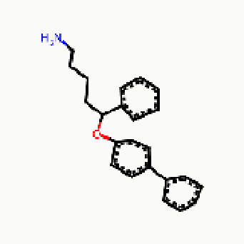 NCCCCC(Oc1ccc(-c2ccccc2)cc1)c1ccccc1